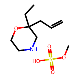 C=CCC1(CC)CNCCO1.COS(=O)(=O)O